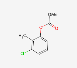 COC(=O)Oc1cccc(Cl)c1C